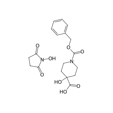 O=C(OCc1ccccc1)N1CCC(O)(C(=O)O)CC1.O=C1CCC(=O)N1O